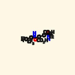 CCC(C)(CC)NC(=O)c1ccc(-c2ccc(C(=O)Nc3ccc(-c4ccc(C(C)(C)CC)cc4C(F)(F)F)cc3)c(C(=O)O)c2)cc1C(=O)O